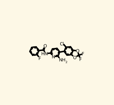 Nc1nc(NC(=O)c2ccccc2F)ccc1-c1cc2c(cc1Cl)OC(F)(F)O2